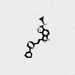 COc1c(C(=O)NC2CC2)ccc2[nH]nc(C=CC3=COC=C(C4=CC=CCC4)O3)c12